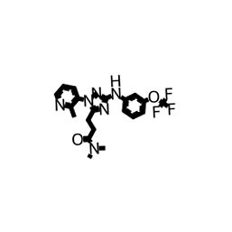 Cc1ncccc1-n1nc(Nc2cccc(OC(F)(F)F)c2)nc1CCC(=O)N(C)C